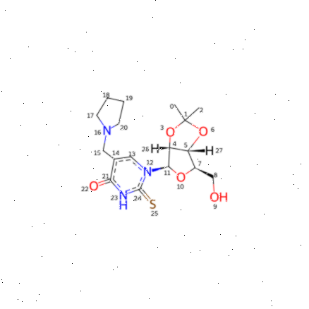 CC1(C)O[C@@H]2[C@H](O1)[C@@H](CO)O[C@H]2n1cc(CN2CCCC2)c(=O)[nH]c1=S